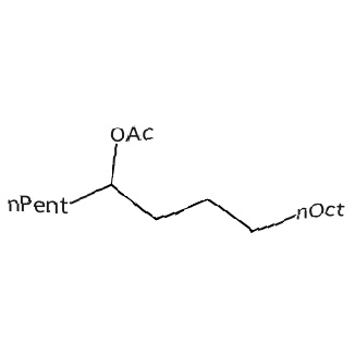 CCCCCCCCCCCC(CCCCC)OC(C)=O